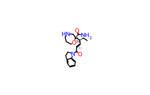 CC[C@@H](/C=C/C(=O)N1CCc2ccccc21)[C@@]1(C(N)=O)CNCCCO1